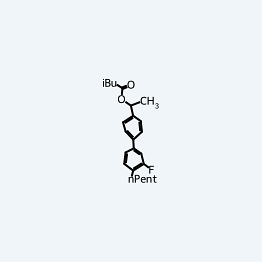 CCCCCc1ccc(-c2ccc(C(C)OC(=O)C(C)CC)cc2)cc1F